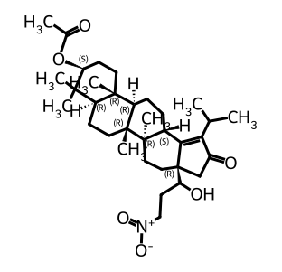 CC(=O)O[C@H]1CC[C@]2(C)[C@H]3CC[C@@H]4C5=C(C(C)C)C(=O)C[C@]5(C(O)CC[N+](=O)[O-])CC[C@@]4(C)[C@]3(C)CC[C@H]2C1(C)C